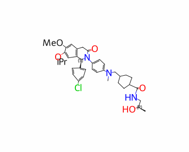 COc1cc2c(cc1OC(C)C)[C@H](c1ccc(Cl)cc1)N(c1ccc(N(C)CC3CCC(C(=O)NC[C@@H](C)O)CC3)cc1)C(=O)C2